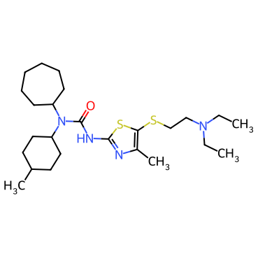 CCN(CC)CCSc1sc(NC(=O)N(C2CCCCCC2)C2CCC(C)CC2)nc1C